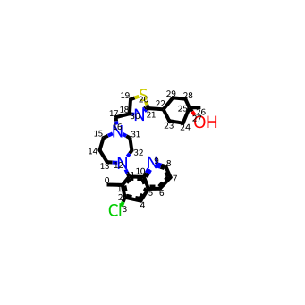 Cc1c(Cl)cc2cccnc2c1N1CCCN(CC2CSC(C3CCC(C)(O)CC3)=N2)CC1